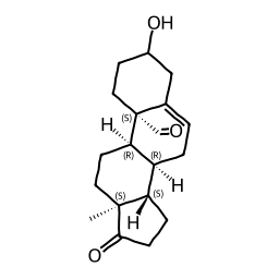 C[C@]12CC[C@@H]3[C@@H](CC=C4CC(O)CC[C@@]43C=O)[C@@H]1CCC2=O